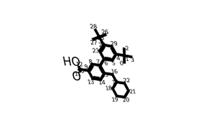 CC(C)(C)c1cc(-c2cc(C(=O)O)ccc2CC2CCCCC2)cc(C(C)(C)C)c1